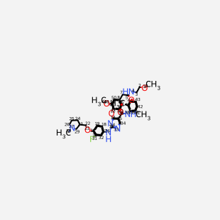 COCCNC(=O)Cc1ccc(Oc2nc(Nc3ccc(OCC4CCCN(C)C4)c(F)c3)ncc2C(=O)Nc2c(C)cccc2C)c(OC)c1